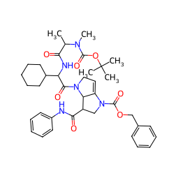 CC(C(=O)NC(C(=O)N1CC=C2C1C(C(=O)Nc1ccccc1)CN2C(=O)OCc1ccccc1)C1CCCCC1)N(C)C(=O)OC(C)(C)C